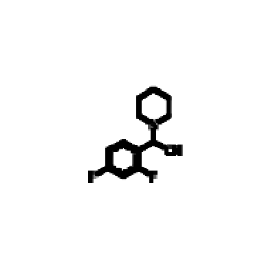 N#CC(c1ccc(F)cc1F)N1CCCCC1